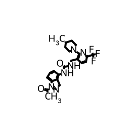 CC(=O)n1ncc2c(NC(=O)NCc3ccc(C(F)(F)F)nc3N3CCC(C)CC3)cccc21